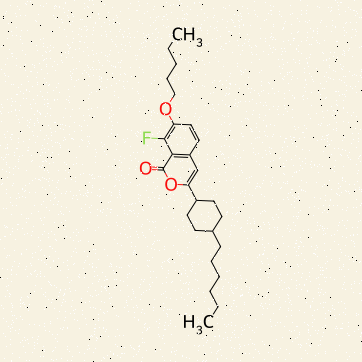 CCCCCCC1CCC(c2cc3ccc(OCCCCC)c(F)c3c(=O)o2)CC1